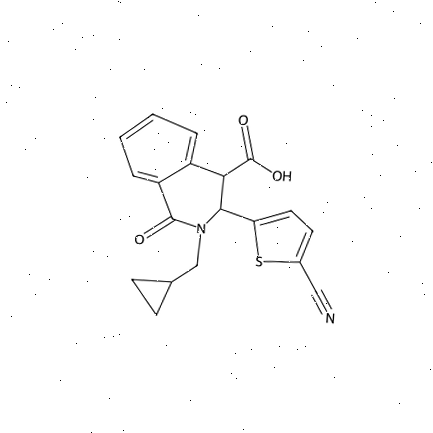 N#Cc1ccc(C2C(C(=O)O)c3ccccc3C(=O)N2CC2CC2)s1